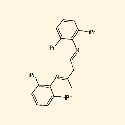 CC(CC=Nc1c(C(C)C)cccc1C(C)C)=Nc1c(C(C)C)cccc1C(C)C